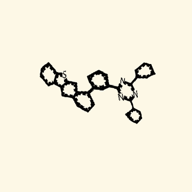 c1ccc(-c2nc(-c3ccccc3)nc(-c3cccc(-c4cccc5cc6c(cc45)sc4ccccc46)c3)n2)cc1